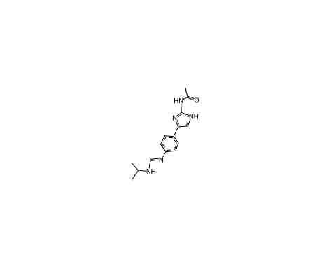 CC(=O)Nc1nc(-c2ccc(/N=C/NC(C)C)cc2)c[nH]1